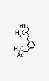 C=C(CCc1cccc(C[C@@H](C)C(C)=O)c1)CC(C)(C)C